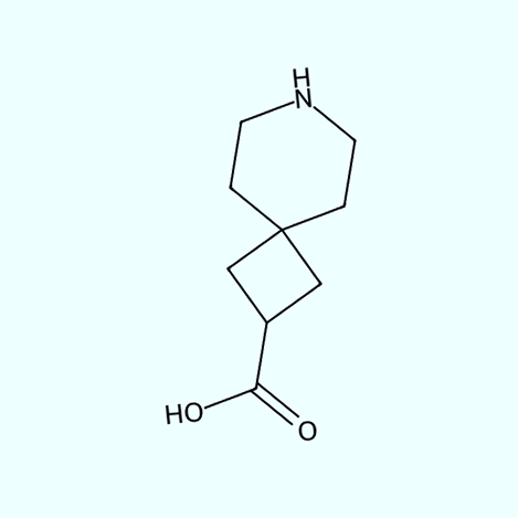 O=C(O)C1CC2(CCNCC2)C1